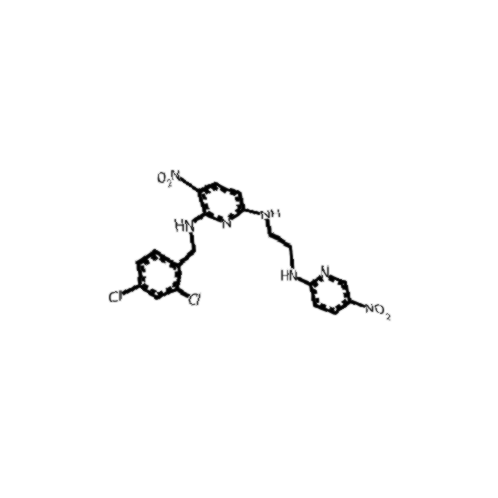 O=[N+]([O-])c1ccc(NCCNc2ccc([N+](=O)[O-])c(NCc3ccc(Cl)cc3Cl)n2)nc1